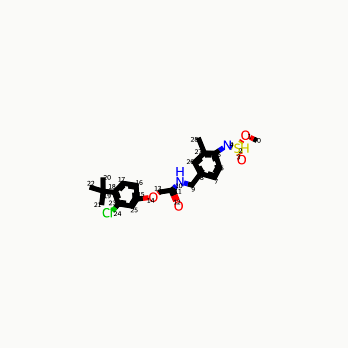 CO[SH](=O)=Nc1ccc(CNC(=O)COc2ccc(C(C)(C)C)c(Cl)c2)cc1C